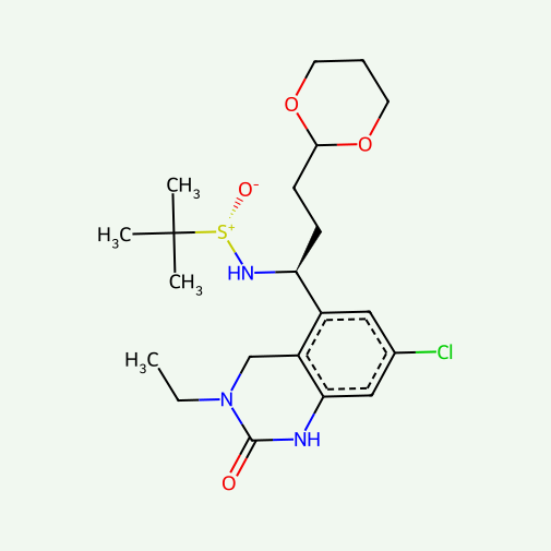 CCN1Cc2c(cc(Cl)cc2[C@H](CCC2OCCCO2)N[S@@+]([O-])C(C)(C)C)NC1=O